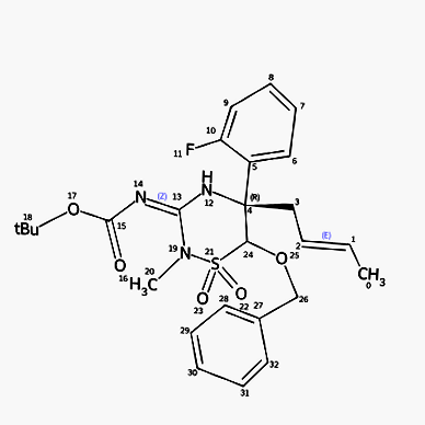 C/C=C/C[C@]1(c2ccccc2F)N/C(=N/C(=O)OC(C)(C)C)N(C)S(=O)(=O)C1OCc1ccccc1